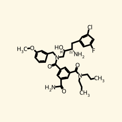 CCCN(CCC)C(=O)c1cc(C(N)=O)cc(C(=O)N(Cc2cccc(OC)c2)C[C@@H](O)[C@@H](N)Cc2cc(F)cc(Cl)c2)c1